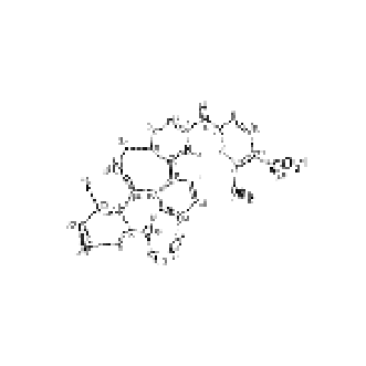 COc1cc(Nc2ncc3c(n2)-c2ccc(Cl)cc2C(c2c(F)cccc2OC(F)(F)F)=NC3)ccc1C(=O)O